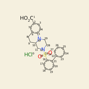 Cl.O=C(O)c1ccc2c(c1)CCC1CN(S(=O)(=O)c3ccccc3-c3ccccc3)CCN21